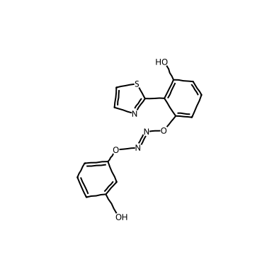 Oc1cccc(ON=NOc2cccc(O)c2-c2nccs2)c1